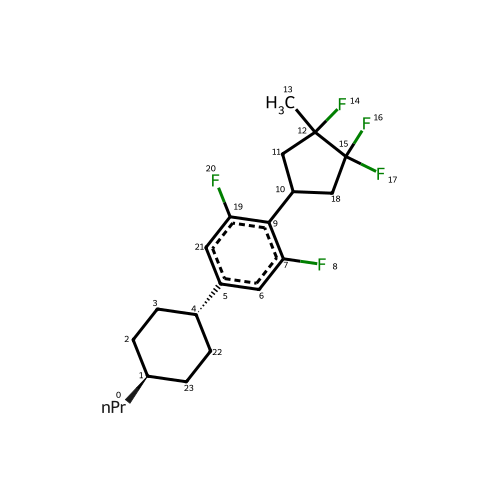 CCC[C@H]1CC[C@H](c2cc(F)c(C3CC(C)(F)C(F)(F)C3)c(F)c2)CC1